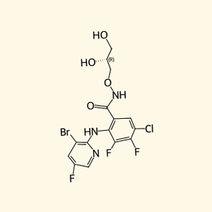 O=C(NOC[C@H](O)CO)c1cc(Cl)c(F)c(F)c1Nc1ncc(F)cc1Br